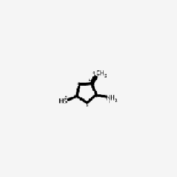 C=C1CC(S)CC1N